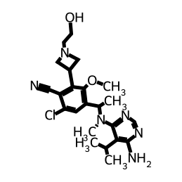 COc1c(C(C)N(C)c2ncnc(N)c2C(C)C)cc(Cl)c(C#N)c1C1CN(CCO)C1